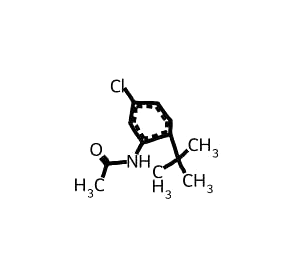 CC(=O)Nc1cc(Cl)ccc1C(C)(C)C